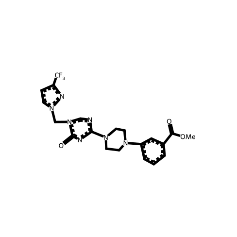 COC(=O)c1cccc(N2CCN(c3ncn(Cn4ccc(C(F)(F)F)n4)c(=O)n3)CC2)c1